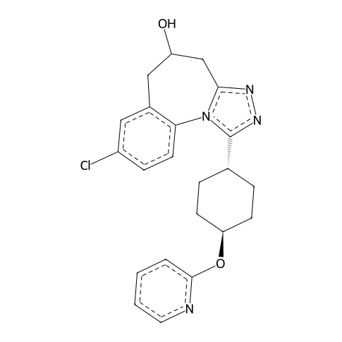 OC1Cc2cc(Cl)ccc2-n2c(nnc2[C@H]2CC[C@H](Oc3ccccn3)CC2)C1